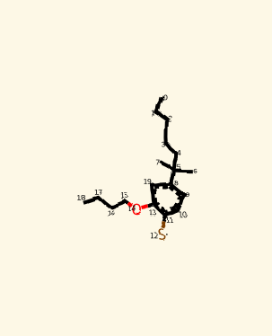 CCCCCC(C)(C)c1ccc([S])c(OCCCC)c1